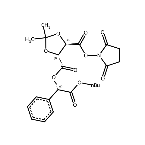 CCCCOC(=O)[C@@H](OC(=O)[C@@H]1OC(C)(C)O[C@H]1C(=O)ON1C(=O)CCC1=O)c1ccccc1